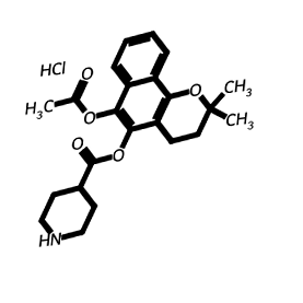 CC(=O)Oc1c(OC(=O)C2CCNCC2)c2c(c3ccccc13)OC(C)(C)CC2.Cl